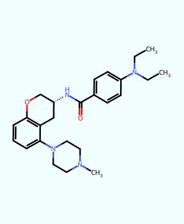 CCN(CC)c1ccc(C(=O)N[C@H]2COc3cccc(N4CCN(C)CC4)c3C2)cc1